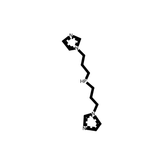 c1cn(CCCPCCCn2ccnc2)cn1